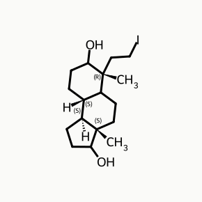 C[C@]1(CCI)C(O)CC[C@@H]2C1CC[C@]1(C)C(O)CC[C@@H]21